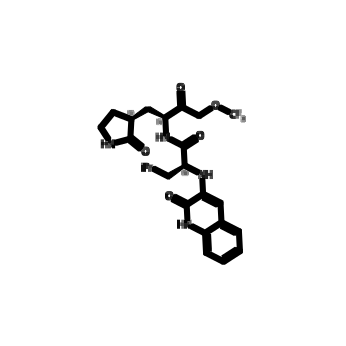 CC(C)C[C@H](Nc1cc2ccccc2[nH]c1=O)C(=O)N[C@@H](C[C@@H]1CCNC1=O)C(=O)COC(F)(F)F